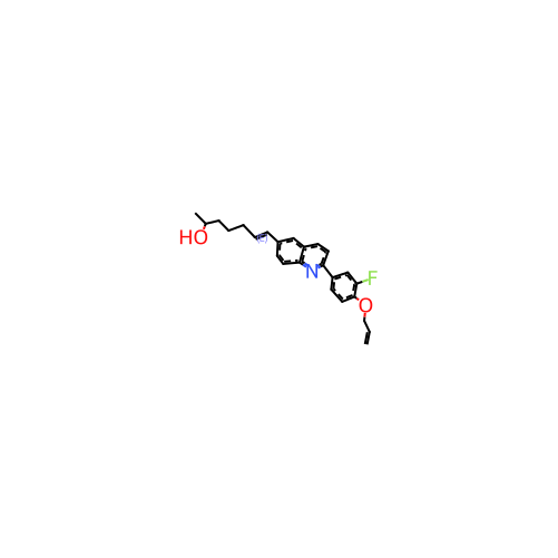 C=CCOc1ccc(-c2ccc3cc(/C=C/CCCC(C)O)ccc3n2)cc1F